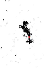 CCN=C(NCC)NCCCC[C@H](N)C(=O)N1CCN(C(=O)C2(NS(=O)(=O)c3ccc(Cl)c(COc4cccc5c(C)cc(C)nc45)c3Cl)CCCC2)CC1